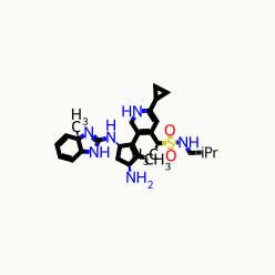 CC1=C(C2=C([C@H](C)S(=O)(=O)NCC(C)C)C=C(C3CC3)NC2)[C@@H](NC2=N[C@]3(C)C=CC=CC3N2)C[C@@H]1N